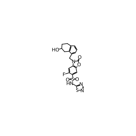 O=c1oc2cc(S(=O)(=O)Nc3ncns3)c(F)cc2n1Cc1cccc2c1CC(O)CC2